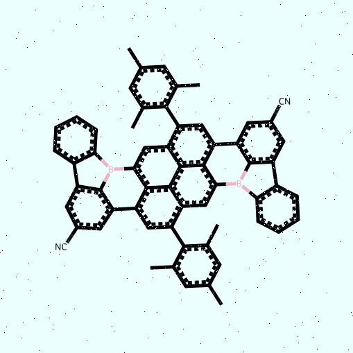 Cc1cc(C)c(-c2cc3c4c(cc5c(-c6c(C)cc(C)cc6C)cc6c7c(cc2c4c57)B2c4ccccc4-c4cc(C#N)cc-6c42)B2c4ccccc4-c4cc(C#N)cc-3c42)c(C)c1